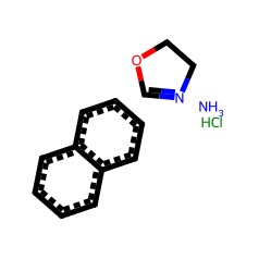 C1=NCCO1.Cl.N.c1ccc2ccccc2c1